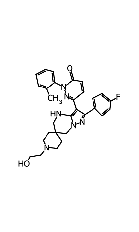 Cc1ccccc1-n1nc(-c2c(-c3ccc(F)cc3)nn3c2NCC2(CCN(CCO)CC2)C3)ccc1=O